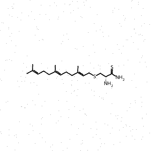 CC(C)=CCC/C(C)=C/CC/C(C)=C/CSC[C@@H](N)C(N)=S